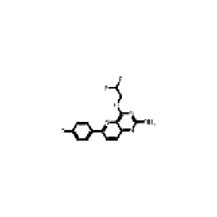 Nc1nc(OCC(F)F)c2nc(-c3ccc(F)cc3)ccc2n1